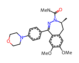 CNC(=O)N1N=C(c2ccc(N3CCOCC3)cc2)c2cc(OC)c(OC)cc2C[C@@H]1C